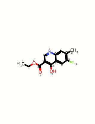 CCOC(=O)c1cnc2cc(C)c(F)cc2c1O